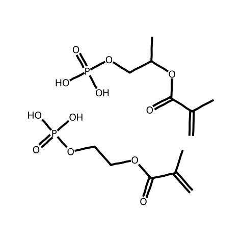 C=C(C)C(=O)OC(C)COP(=O)(O)O.C=C(C)C(=O)OCCOP(=O)(O)O